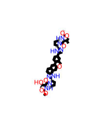 COC(=O)NC(C(=O)N1[C@@H](C)CC[C@H]1c1ncc(-c2ccc3c(c2)COc2cc4c(ccc5nc([C@@H]6CC[C@H](C)N6C(=O)[C@@H](NC(=O)OC)[C@@H](C)O)[nH]c54)cc2-3)[nH]1)C(C)C